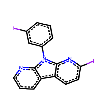 Ic1cccc(-n2c3ncccc3c3ccc(I)nc32)c1